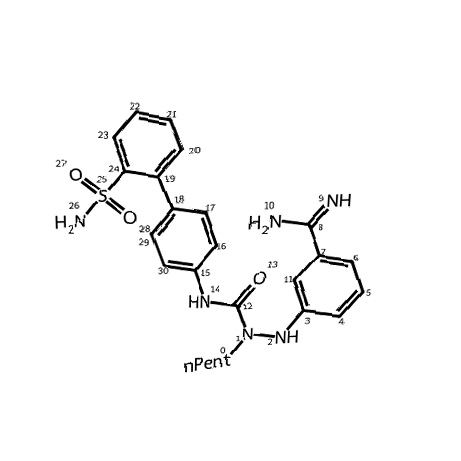 CCCCCN(Nc1cccc(C(=N)N)c1)C(=O)Nc1ccc(-c2ccccc2S(N)(=O)=O)cc1